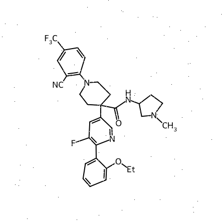 CCOc1ccccc1-c1ncc(C2(C(=O)NC3CCN(C)C3)CCN(c3ccc(C(F)(F)F)cc3C#N)CC2)cc1F